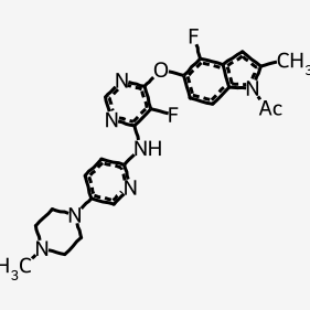 CC(=O)n1c(C)cc2c(F)c(Oc3ncnc(Nc4ccc(N5CCN(C)CC5)cn4)c3F)ccc21